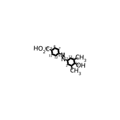 Cc1cc(/N=N/c2ccc(C(=O)O)cc2)cc(C)c1O